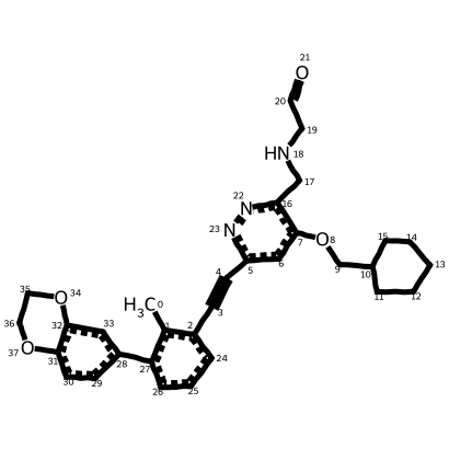 Cc1c(C#Cc2cc(OCC3CCCCC3)c(CNCC=O)nn2)cccc1-c1ccc2c(c1)OCCO2